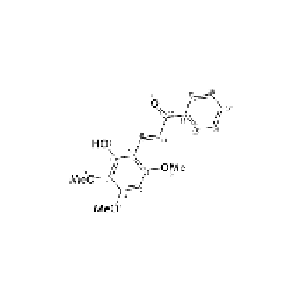 COc1cc(OC)c(OC)c(O)c1C=CC(=O)c1ccccc1